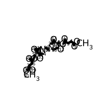 COC(=O)CCC(=O)OCN1C(=O)CN(CCN2CC(=O)N(COC(=O)CCC(=O)OC)C(=O)C2)CC1=O